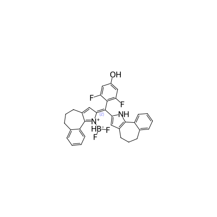 Oc1cc(F)c(/C(=C2\C=C3CCCc4ccccc4C3=[N+]2[BH-](F)F)c2cc3c([nH]2)-c2ccccc2CCC3)c(F)c1